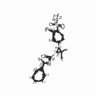 CC1(C)[C@H](c2ccc(S(N)(=O)=O)c(F)c2)[C@H]1c1nc(-c2ccccc2)no1